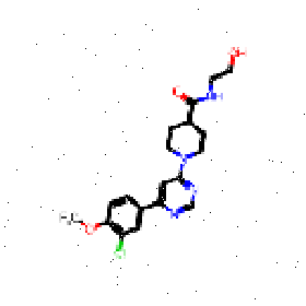 O=C(NCCO)C1CCN(c2cc(-c3ccc(OC(F)(F)F)c(Cl)c3)ncn2)CC1